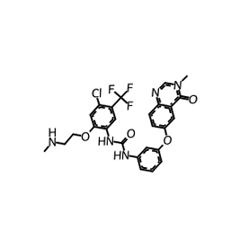 CNCCOc1cc(Cl)c(C(F)(F)F)cc1NC(=O)Nc1cccc(Oc2ccc3ncn(C)c(=O)c3c2)c1